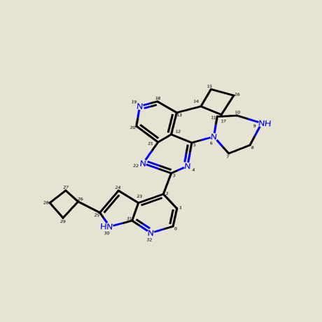 c1cc(-c2nc(N3CCNCC3)c3c(C4CCC4)cncc3n2)c2cc(C3CCC3)[nH]c2n1